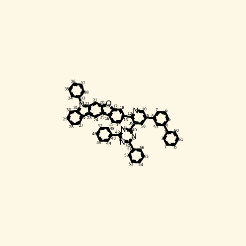 c1ccc(-c2cccc(-c3cnc(-c4ccc5c(c4)oc4cc6c(cc45)c4ccccc4n6-c4ccccc4)c(-c4nc(-c5ccccc5)nc(-c5ccccc5)n4)c3)c2)cc1